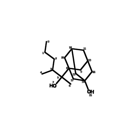 CCCC(C)C(C)(O)C12CC3CC(CC(O)(C3)C1)C2